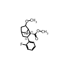 COC(=O)[C@@H]1C2NC(CC2OC)C[C@@H]1c1ccccc1F